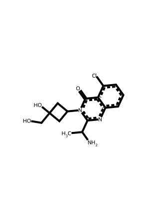 CC(N)c1nc2cccc(Cl)c2c(=O)n1C1CC(O)(CO)C1